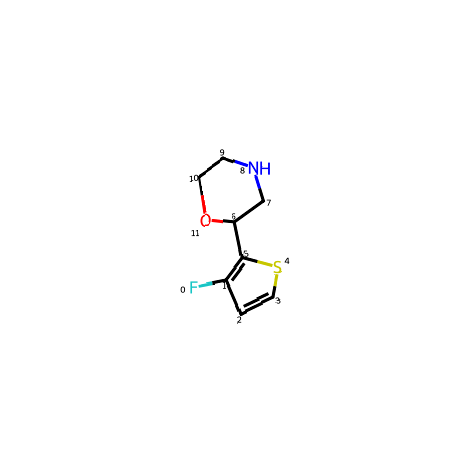 Fc1ccsc1C1CNCCO1